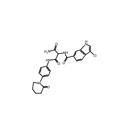 NC(=O)C(NC(=O)c1ccc2c(Cl)c[nH]c2c1)C(=O)Nc1ccc(N2CCCCC2=O)cc1